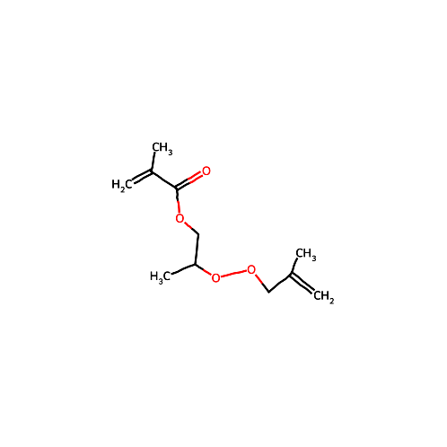 C=C(C)COOC(C)COC(=O)C(=C)C